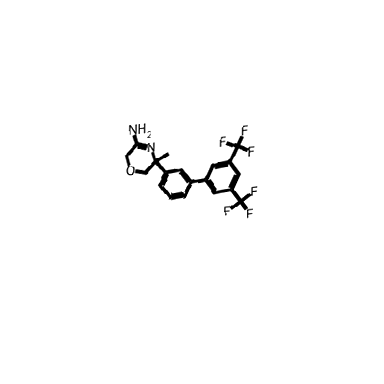 CC1(c2cccc(-c3cc(C(F)(F)F)cc(C(F)(F)F)c3)c2)COCC(N)=N1